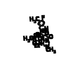 CCN(C(=O)C(=O)N(C)C)C1CN(C)CCn2c1nc(C(=O)NCc1ccc(F)c(C)c1)c(O)c2=O